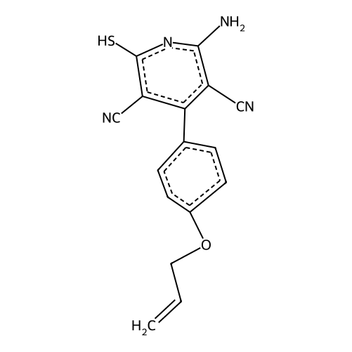 C=CCOc1ccc(-c2c(C#N)c(N)nc(S)c2C#N)cc1